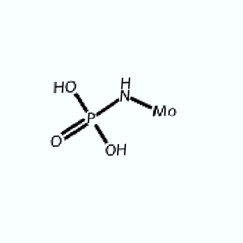 O=P(O)(O)[NH][Mo]